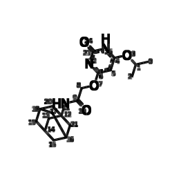 CC(C)Oc1cc(OCC(=O)NC23CC4CC(CC(C4)C2)C3)nc(=O)[nH]1